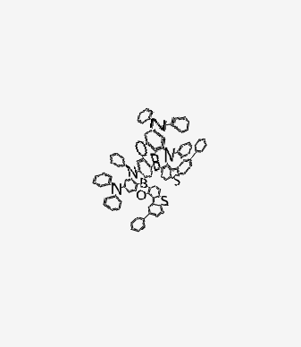 c1ccc(-c2ccc3sc4ccc5c(c4c3c2)Oc2cc(N(c3ccccc3)c3ccccc3)cc3c2B5c2cc4c(cc2N3c2ccccc2)Oc2cc(N(c3ccccc3)c3ccccc3)cc3c2B4c2ccc4sc5ccc(-c6ccccc6)cc5c4c2N3c2ccccc2)cc1